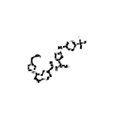 CCN1CC[C@@H](n2cnc3cnc(C(=O)N[C@H](C)c4cnc(Nc5ccc(C(F)(F)F)cc5)s4)cc32)C1